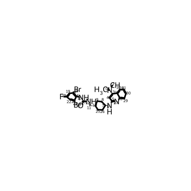 CN(C)c1cc(N[C@H]2CC[C@@H](CNC(=O)Nc3c(Br)cc(F)cc3Br)CC2)nc2ccccc12